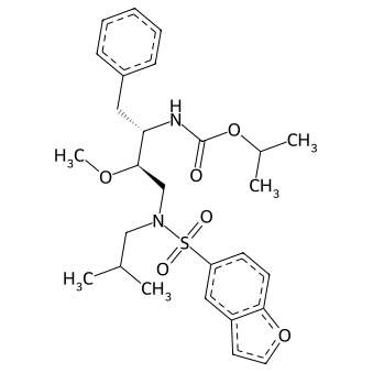 CO[C@H](CN(CC(C)C)S(=O)(=O)c1ccc2occc2c1)[C@H](Cc1ccccc1)NC(=O)OC(C)C